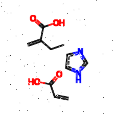 C=C(CC)C(=O)O.C=CC(=O)O.c1c[nH]cn1